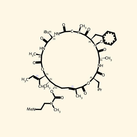 C/C=C(\C)[C@H]1OC(=O)[C@@H](C)NC(=O)[C@H]([C@H](C)CC)NC(=O)CN(C)C(=O)[C@@H](Cc2ccccc2)N(C)C(=O)[C@H](C)NC(=O)[C@@H](CC(C)C)OC(=O)/C(C)=C/C[C@H](OC(=O)N(C)CCNC)[C@@H]1C